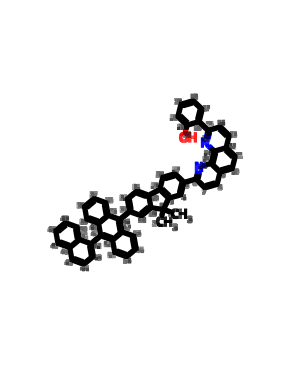 CC1(C)c2cc(-c3ccc4ccc5ccc(-c6ccccc6O)nc5c4n3)ccc2-c2ccc(-c3c4ccccc4c(-c4cccc5ccccc45)c4ccccc34)cc21